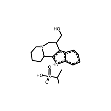 CC(C)S(=O)(=O)O.OCC1CN2CCCCC2c2[nH]c3ccccc3c21